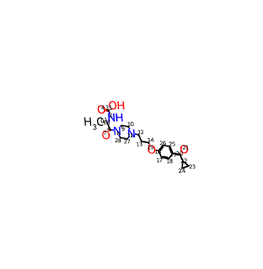 C[C@H](NC(=O)O)C(=O)N1CCN(CCCOc2ccc(C(=O)C3CC3)cc2)CC1